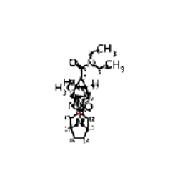 CCN(CC)C(=O)C1[C@H]2CN(C3CC4CCC(C3)N4c3nc(C)no3)C[C@@H]12